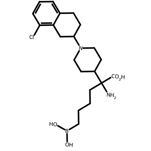 NC(CCCCB(O)O)(C(=O)O)C1CCN(C2CCc3cccc(Cl)c3C2)CC1